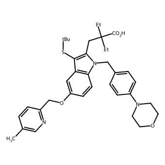 CCC(CC)(Cc1c(SC(C)(C)C)c2cc(OCc3ccc(C)cn3)ccc2n1Cc1ccc(N2CCOCC2)cc1)C(=O)O